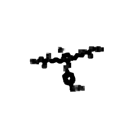 CC(=O)Nc1ccc(/N=N/c2n(CCCNC(=O)OC(C)(C)C)cc[n+]2CCCNC(=O)OC(C)(C)C)cc1.[Br-]